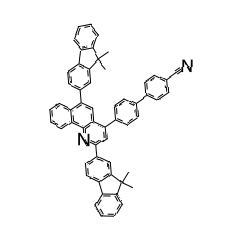 CC1(C)c2ccccc2-c2ccc(-c3cc(-c4ccc(-c5ccc(C#N)cc5)cc4)c4cc(-c5ccc6c(c5)C(C)(C)c5ccccc5-6)c5ccccc5c4n3)cc21